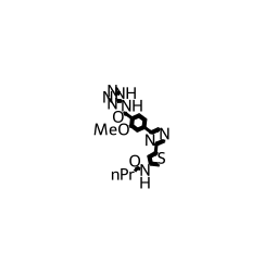 CCCC(=O)Nc1csc(-c2cncc(-c3ccc(C(=O)Nc4nnn[nH]4)c(OC)c3)n2)c1